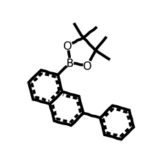 CC1(C)OB(c2cccc3ccc(-c4ccccc4)cc23)OC1(C)C